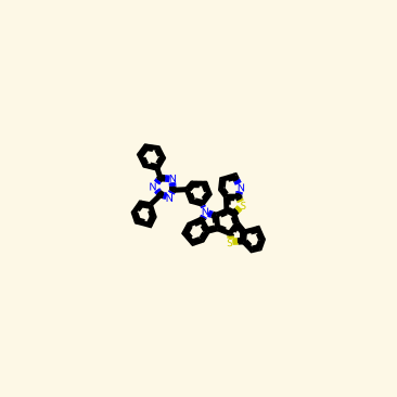 c1ccc(-c2nc(-c3ccccc3)nc(-c3cccc(-n4c5ccccc5c5c6sc7ccccc7c6c6sc7ncccc7c6c54)c3)n2)cc1